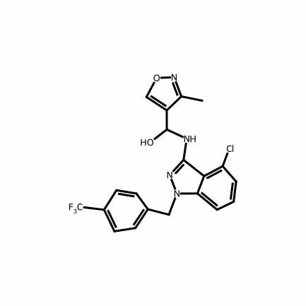 Cc1nocc1C(O)Nc1nn(Cc2ccc(C(F)(F)F)cc2)c2cccc(Cl)c12